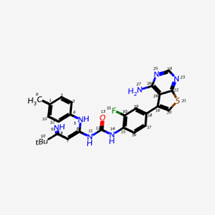 Cc1ccc(N/C(=C\C(=N)C(C)(C)C)NC(=O)Nc2ccc(-c3csc4ncnc(N)c34)cc2F)cc1